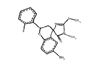 Bc1ccc2c(c1)C1(CC(c3ccccc3F)O2)N=C(SC)N(C)C1=O